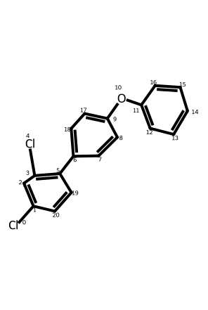 Clc1[c]c(Cl)c(-c2ccc(Oc3ccccc3)cc2)cc1